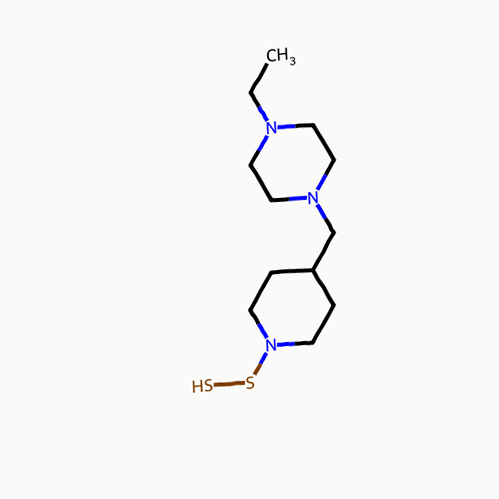 CCN1CCN(CC2CCN(SS)CC2)CC1